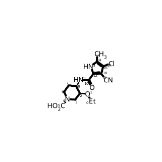 CCO[C@H]1CN(C(=O)O)CC[C@H]1NC(=O)c1[nH]c(C)c(Cl)c1C#N